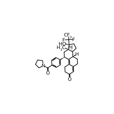 C[C@]12C[C@H](c3ccc(C(=O)N4CCCC4)cc3)C3=C4CCC(=O)C=C4CC[C@H]3[C@@H]1CC[C@@]2(O)C(F)(F)C(F)(F)F